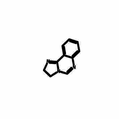 C1=Nc2ccccc2C2=NCCN12